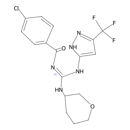 O=C(/N=C(\Nc1cc(C(F)(F)F)n[nH]1)NC1CCCOC1)c1ccc(Cl)cc1